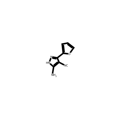 [C-]#[N+]c1c(-c2ccco2)n[nH]c1N